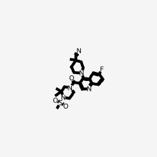 CC1(C#N)CCN(c2c(C(=O)N3CCN(S(C)(=O)=O)C(C)(C)C3)cnc3ccc(F)cc23)CC1